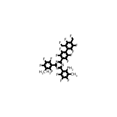 Cc1c(F)c(F)c(F)c(-c2nc(-c3c(F)c(F)c(-c4c(F)c(F)c(CF)c(F)c4CF)c(F)c3F)nc(-c3c(F)c(F)c(F)c(C)c3P)n2)c1P